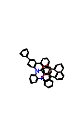 c1ccc(-c2ccc(N(c3ccc(-c4cccc5cccc(-c6ccccc6)c45)cc3)c3ccccc3-n3c4ccccc4c4ccccc43)c(-c3ccccc3)c2)cc1